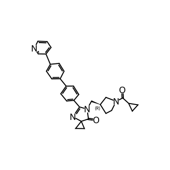 O=C(C1CC1)N1CC[C@@H](CN2C(=O)C3(CC3)N=C2c2ccc(-c3ccc(-c4cccnc4)cc3)cc2)C1